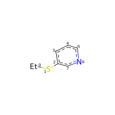 CCSc1cc[c]nc1